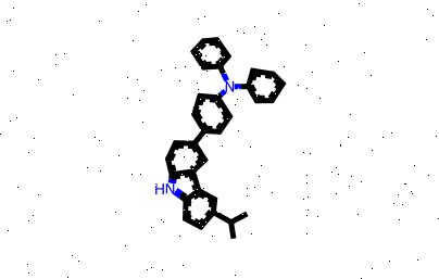 CC(C)c1ccc2[nH]c3ccc(-c4ccc(N(c5ccccc5)c5ccccc5)cc4)cc3c2c1